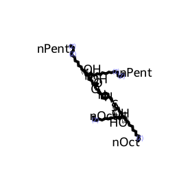 CCCCC/C=C\C/C=C\CCCCCC[C@@H](O)CN(CCCC(=O)OCCN1CCN(CCSSCCCN(C[C@@H](O)CCCCCC/C=C\CCCCCCCC)C[C@@H](O)CCCCCC/C=C\CCCCCCCC)CC1)C[C@H](O)CCCCCC/C=C\C/C=C\CCCCC